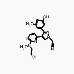 Cc1cc(O)cc(-c2nn(CC#N)cc2-c2ccnc(N(C)CCO)n2)c1